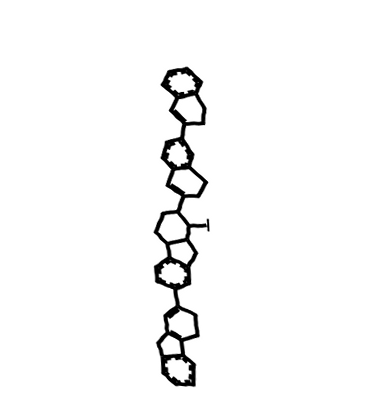 IC1C(C2=Cc3ccc(C4=Cc5ccccc5CC4)cc3CC2)CCC2c3ccc(C4=CC5=C(CC4)c4ccccc4C5)cc3CC21